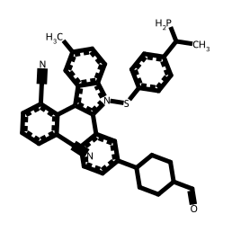 Cc1ccc2c(c1)c(-c1c(C#N)cccc1C#N)c(-c1cccc(C3CCC(C=O)CC3)c1)n2Sc1ccc(C(C)P)cc1